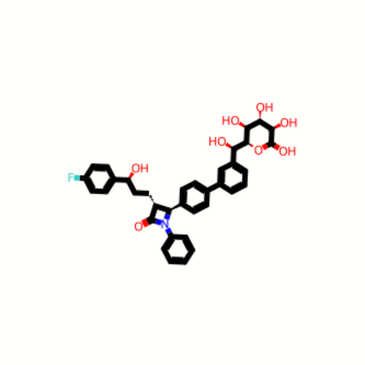 O=C1[C@H](CC[C@H](O)c2ccc(F)cc2)[C@@H](c2ccc(-c3cccc([C@@H](O)[C@H]4OC(O)[C@H](O)[C@@H](O)[C@@H]4O)c3)cc2)N1c1ccccc1